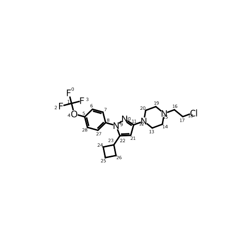 FC(F)(F)Oc1ccc(-n2nc(N3CCN(CCCl)CC3)cc2C2CCC2)cc1